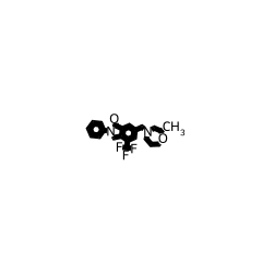 CC1CN(Cc2cc3c(c(C(F)(F)F)c2)CN(c2ccccc2)C3=O)CCCO1